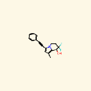 Cc1cc(C#Cc2ccccc2)n2c1C(O)C(F)(F)CC2